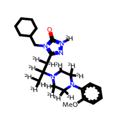 [2H]C1N(C([2H])(C([2H])([2H])[2H])C([2H])([2H])c2nn([2H])c(=O)n2CC2CCCCC2)C([2H])([2H])C([2H])([2H])N(c2ccccc2OC)C1([2H])[2H]